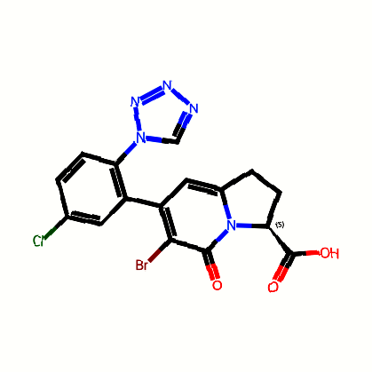 O=C(O)[C@@H]1CCc2cc(-c3cc(Cl)ccc3-n3cnnn3)c(Br)c(=O)n21